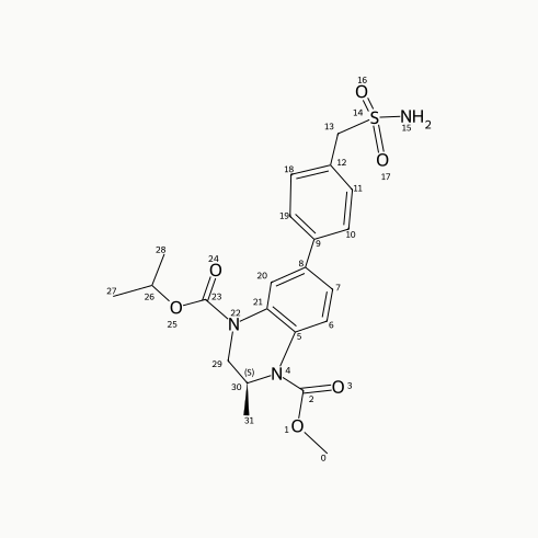 COC(=O)N1c2ccc(-c3ccc(CS(N)(=O)=O)cc3)cc2N(C(=O)OC(C)C)C[C@@H]1C